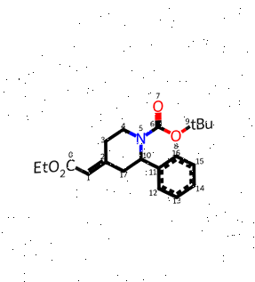 CCOC(=O)C=C1CCN(C(=O)OC(C)(C)C)C(c2ccccc2)C1